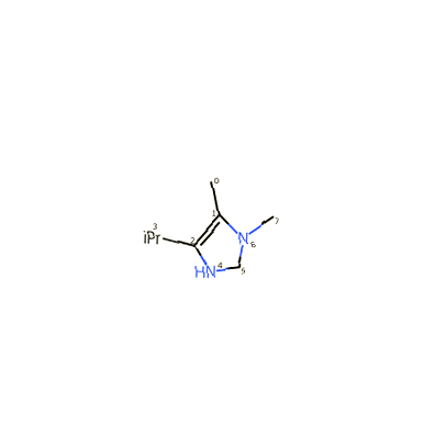 CC1=C(C(C)C)NCN1C